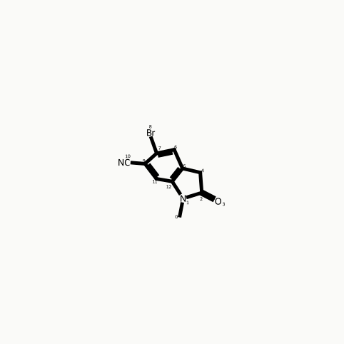 CN1C(=O)Cc2cc(Br)c(C#N)cc21